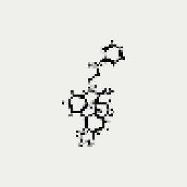 O=C1N(CCNc2ccccn2)c2ccccc2C12COc1cc3c(cc12)OCO3